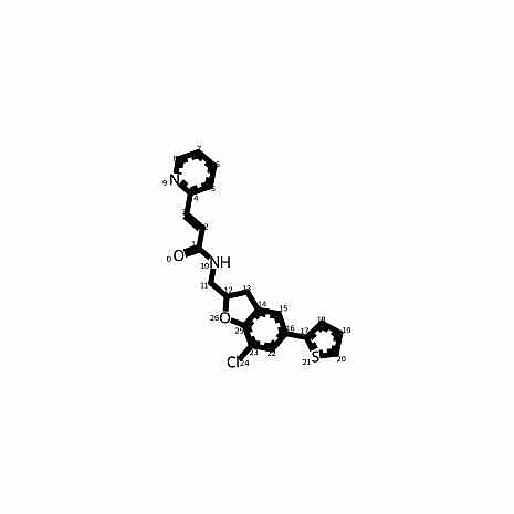 O=C(/C=C/c1ccccn1)NCC1Cc2cc(-c3cccs3)cc(Cl)c2O1